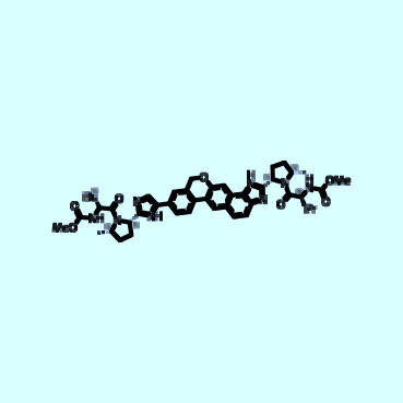 CC[C@H](C)C(NC(=O)OC)C(=O)N1[C@@H](C)CC[C@H]1c1ncc(-c2ccc3c(c2)COc2cc4c(ccc5nc([C@@H]6CC[C@H](C)N6C(=O)[C@@H](NC(=O)OC)C(C)C)[nH]c54)cc2-3)[nH]1